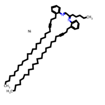 CCCCCCCCCCCCCCCCCCCCCC#CCCc1ccccc1N=CC(CCCCC)=Nc1ccccc1CCC#CCCCCCCCCCCCCCCCCCCCCC.[Ni]